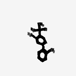 CCC(C)(C)c1cnc(-c2ccccc2C)cc1C